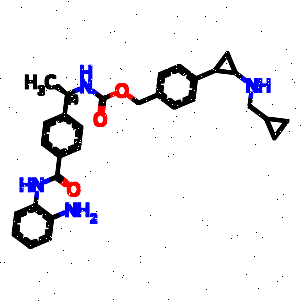 C[C@@H](NC(=O)OCc1ccc(C2CC2NCC2CC2)cc1)c1ccc(C(=O)Nc2ccccc2N)cc1